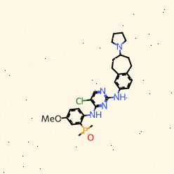 COc1ccc(Nc2nc(Nc3ccc4c(c3)CCC(N3CCCC3)CC4)ncc2Cl)c(P(C)(C)=O)c1